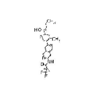 CCC[C@@H](O)c1cc(C)c(-c2cc3cnc(NC(=O)[C@H]4CC4(F)F)cc3cn2)cn1